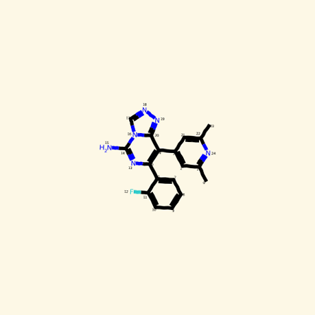 Cc1cc(-c2c(-c3ccccc3F)nc(N)n3cnnc23)cc(C)n1